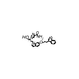 Cn1cc(CCCOc2ccc3ccn(CC[C@H](CO)n4cnc(C(N)=O)c4)c3c2)c2ccccc21